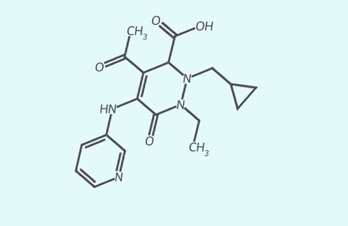 CCN1C(=O)C(Nc2cccnc2)=C(C(C)=O)C(C(=O)O)N1CC1CC1